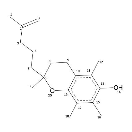 C=C(C)CCCC1(C)CCc2c(C)c(O)c(C)c(C)c2O1